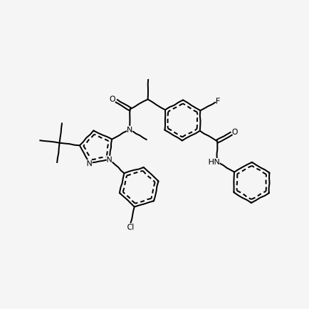 CC(C(=O)N(C)c1cc(C(C)(C)C)nn1-c1cccc(Cl)c1)c1ccc(C(=O)Nc2ccccc2)c(F)c1